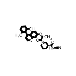 Cc1cccc(C)c1-c1ccnc2cc(O[C@H](C)C(=O)N3CCC[C@H](C(=O)NC#N)C3)ccc12